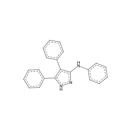 c1ccc(Nc2n[nH]c(-c3ccccc3)c2-c2ccccc2)cc1